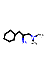 CN(CC(N)CC1CCCCC1)C(=O)O